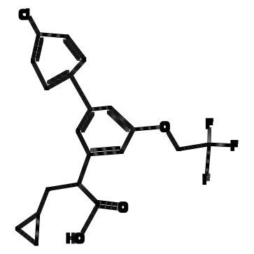 O=C(O)C(CC1CC1)c1cc(OCC(F)(F)F)cc(-c2ccc(Cl)cc2)c1